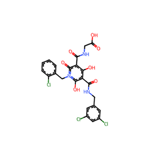 O=C(O)CNC(=O)c1c(O)c(C(=O)NCc2cc(Cl)cc(Cl)c2)c(O)n(Cc2ccccc2Cl)c1=O